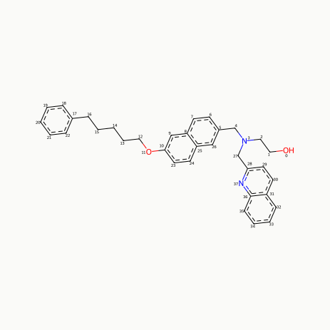 OCCN(Cc1ccc2cc(OCCCCCc3ccccc3)ccc2c1)Cc1ccc2ccccc2n1